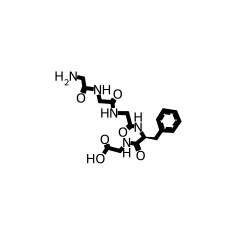 NCC(=O)NCC(=O)NCC(=O)N[C@@H](Cc1ccccc1)C(=O)NCC(=O)O